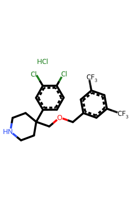 Cl.FC(F)(F)c1cc(COCC2(c3ccc(Cl)c(Cl)c3)CCNCC2)cc(C(F)(F)F)c1